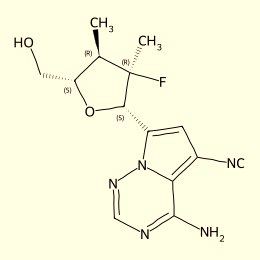 [C-]#[N+]c1cc([C@@H]2O[C@H](CO)[C@@H](C)[C@@]2(C)F)n2ncnc(N)c12